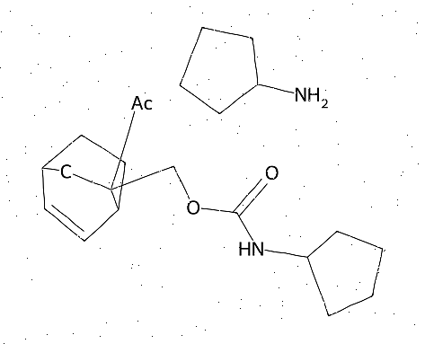 CC(=O)C1(COC(=O)NC2CCCC2)CC2C=CC1CC2.NC1CCCC1